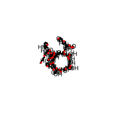 CC(=O)NC[C@H]1CN(c2ccc(N3CCOCC3)c(F)c2)C(=O)O1.CCCCCCCCCC(=O)N[C@@H](Cc1c[nH]c2ccccc12)C(=O)N[C@@H](CC(N)=O)C(=O)N[C@@H](CC(=O)O)C(=O)N[C@H]1C(=O)NCC(=O)N[C@@H](CCCN)C(=O)N[C@@H](CC(=O)O)C(=O)N[C@H](C)C(=O)N[C@@H](CC(=O)O)C(=O)NCC(=O)N[C@H](CO)C(=O)N[C@H]([C@@H](C)CC(=O)O)C(=O)N[C@@H](CC(=O)c2ccccc2N)C(=O)O[C@@H]1C